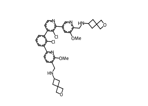 COc1cc(-c2nccc(-c3cccc(-c4ccc(CNC5CC6(COC6)C5)c(OC)n4)c3Cl)c2Cl)cnc1CNC1CC2(COC2)C1